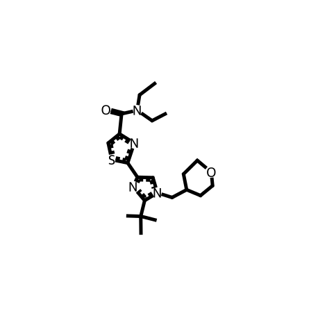 CCN(CC)C(=O)c1csc(-c2cn(CC3CCOCC3)c(C(C)(C)C)n2)n1